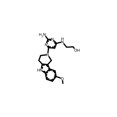 COc1ccc2[nH]c3c(c2c1)CN(c1cc(NCCO)nc(N)n1)CC3